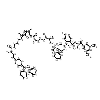 Cc1nc(N(C)CCCCCC(=O)N(C)CCN2CCC(N(C(=O)O)c3ccccc3-c3ccccc3)CC2)sc1C(=O)N(C)CCCN(C)C(=O)CO[C@H]1Cc2ccccc2C12CCN(CC[C@]1(c3ccc(F)cc3)CN(C(=O)c3cc(C(F)(F)F)cc(C(F)(F)F)c3)CO1)CC2